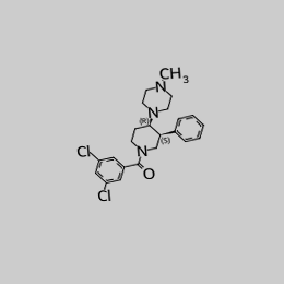 CN1CCN([C@@H]2CCN(C(=O)c3cc(Cl)cc(Cl)c3)C[C@@H]2c2ccccc2)CC1